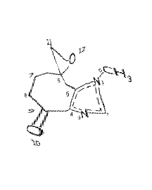 Cn1cnc2c1C1(CCC2=O)CO1